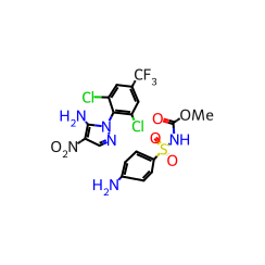 COC(=O)NS(=O)(=O)c1ccc(N)cc1.Nc1c([N+](=O)[O-])cnn1-c1c(Cl)cc(C(F)(F)F)cc1Cl